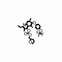 CCc1nc2cc(C)c(Oc3ccc(OC(F)(F)F)cc3)c(C)c2c(OC(=O)OCC2CCCO2)c1C